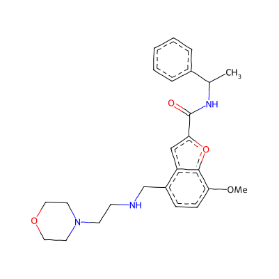 COc1ccc(CNCCN2CCOCC2)c2cc(C(=O)NC(C)c3ccccc3)oc12